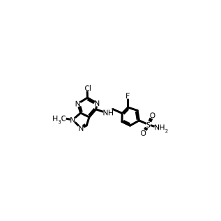 Cn1ncc2c(NCc3ccc(S(N)(=O)=O)cc3F)nc(Cl)nc21